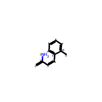 C=C(N)/C=C\c1ccccc1C